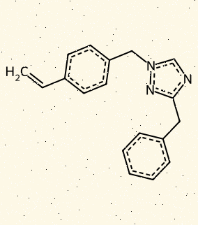 C=Cc1ccc(Cn2cnc(Cc3ccccc3)n2)cc1